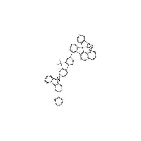 CC1(C)c2cc(-c3cccc4c3-c3ccc5ccccc5c3C43c4ccccc4-c4ccccc43)ccc2-c2ccc(-n3c4ccccc4c4cc(-c5ccccc5)ccc43)cc21